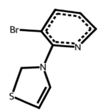 Brc1cccnc1N1C=CSC1